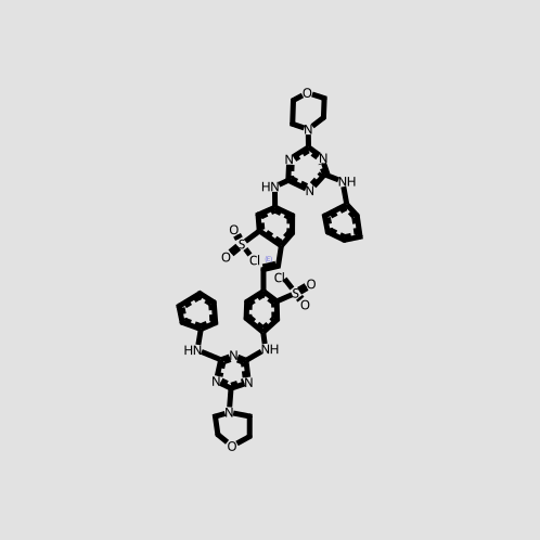 O=S(=O)(Cl)c1cc(Nc2nc(Nc3ccccc3)nc(N3CCOCC3)n2)ccc1/C=C/c1ccc(Nc2nc(Nc3ccccc3)nc(N3CCOCC3)n2)cc1S(=O)(=O)Cl